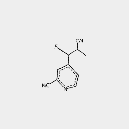 CC(C#N)C(F)c1ccnc(C#N)c1